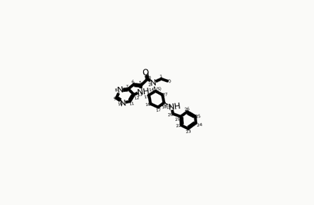 CCN(C(=O)c1cc2ncncc2[nH]1)[C@H]1CCC[C@@H](NCc2ccccc2)C1